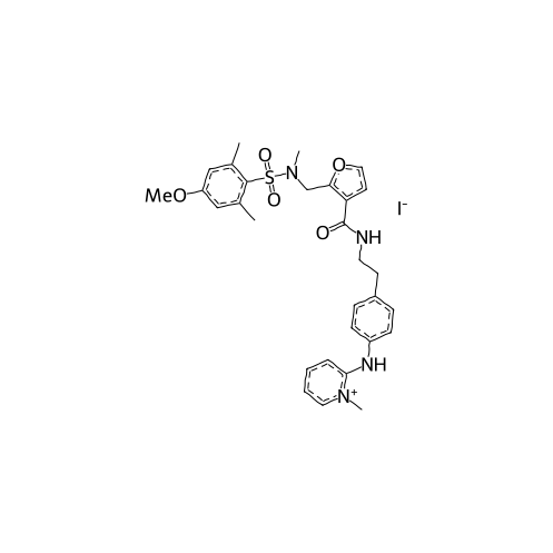 COc1cc(C)c(S(=O)(=O)N(C)Cc2occc2C(=O)NCCc2ccc(Nc3cccc[n+]3C)cc2)c(C)c1.[I-]